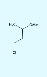 COC(C)CCCl